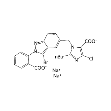 CCCCc1nc(Cl)c(C(=O)[O-])n1Cc1ccc2nn(-c3ccccc3C(=O)[O-])c(Br)c2c1.[Na+].[Na+]